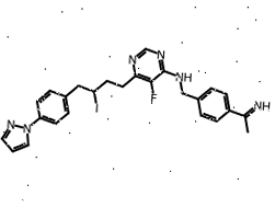 CC(=N)c1ccc(CNc2ncnc(CCC(I)Cc3ccc(-n4cccn4)cc3)c2F)cc1